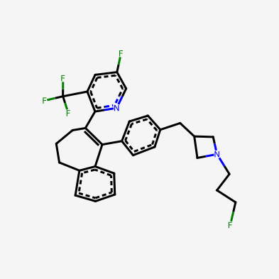 FCCCN1CC(Cc2ccc(C3=C(c4ncc(F)cc4C(F)(F)F)CCCc4ccccc43)cc2)C1